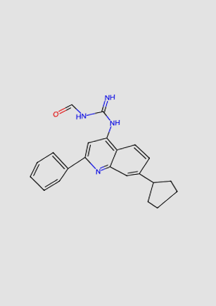 N=C(NC=O)Nc1cc(-c2ccccc2)nc2cc(C3CCCC3)ccc12